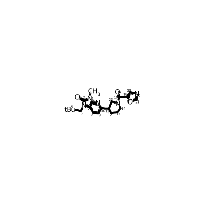 Cn1c(=O)n(CC(C)(C)C)c2ccc(C3CCCN(C(=O)c4cnco4)C3)nc21